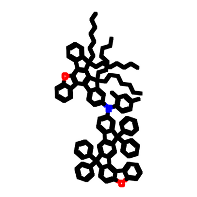 CCCCCCCC1(CCCCCCC)c2ccccc2-c2c1c1c(c3c2oc2ccccc23)-c2ccc(N(c3ccc4c(c3)C(c3ccccc3)(c3ccccc3)c3cc5c(cc3-4)C(c3ccccc3)(c3ccccc3)c3ccc4oc6ccccc6c4c3-5)c3ccc(C)cc3C)cc2C1(CCCCCCC)CCCCCCC